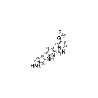 FC(F)Oc1ccc2ncc(-c3cccc(NC4CCC5(CNC5)C4)n3)n2c1